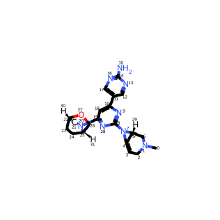 CN1CC=C2[C@@H](C1)N2c1nc(-c2cnc(N)nc2)cc(N2C[C@@H]3CC[C@H]2CO3)n1